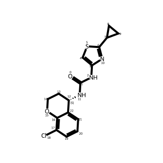 O=C(Nc1csc(C2CC2)n1)N[C@H]1CCOc2c(Cl)cccc21